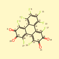 O=c1c(F)c2c3c(F)c(F)c(F)c(F)c3c3c(F)c(=O)c(=O)c(F)c3c2c(F)c1=O